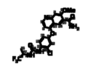 COc1cc2nccc(Oc3ccc(NC(=O)NC(C)C(F)(F)F)c(Cl)c3)c2cc1C(N)=O